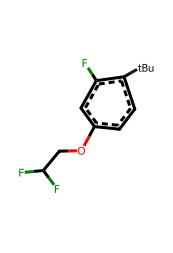 CC(C)(C)c1ccc(OCC(F)F)cc1F